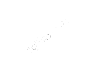 CC1CCC2CC(C3CCC(c4ccc5nc(C(F)(F)Oc6cc(F)c(F)c(F)c6)sc5c4)CC3)CCC2C1